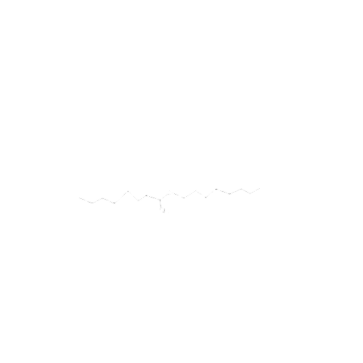 CCCCCCCCSC(S)CCCCCCC